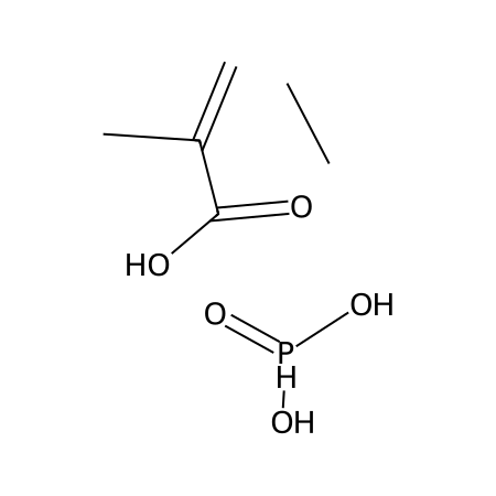 C=C(C)C(=O)O.CC.O=[PH](O)O